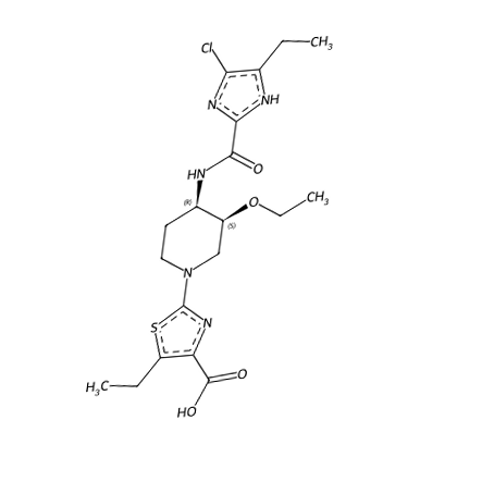 CCO[C@H]1CN(c2nc(C(=O)O)c(CC)s2)CC[C@H]1NC(=O)c1nc(Cl)c(CC)[nH]1